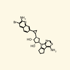 Nc1nc2cc(C3C[C@H]3[C@H]3C[C@@H](n4c5c(c6c(N)ncnc64)CCC5)[C@H](O)[C@@H]3O)ccc2cc1Br